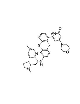 Cc1ccc(C(C[C@@H]2CCCN2C)Nc2ccc3c(c2)Sc2cccc(-c4cc(N5CCOCC5)cc(=O)[nH]4)c2S3)nc1